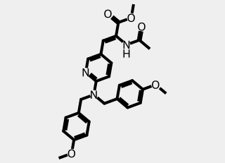 COC(=O)C(=Cc1ccc(N(Cc2ccc(OC)cc2)Cc2ccc(OC)cc2)nc1)NC(C)=O